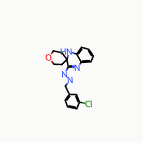 Clc1cccc(CN=NC2=Nc3ccccc3NC23CCOCC3)c1